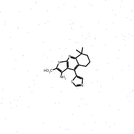 CC1(C)CCCc2c1nc1sc(C(=O)O)c(N)c1c2-c1cncs1